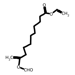 C=COC(=O)CCCCCCCCC(=C)OC=O